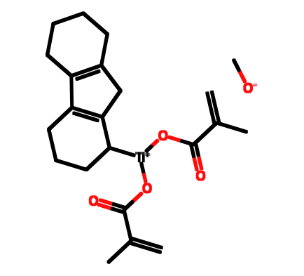 C=C(C)C(=O)[O][Ti+]([O]C(=O)C(=C)C)[CH]1CCCC2=C1CC1=C2CCCC1.C[O-]